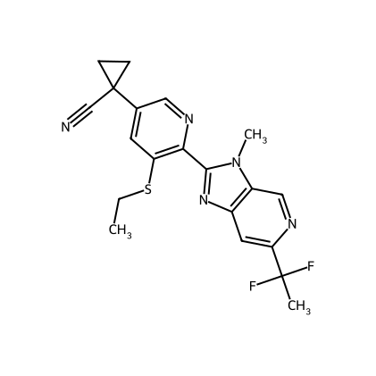 CCSc1cc(C2(C#N)CC2)cnc1-c1nc2cc(C(C)(F)F)ncc2n1C